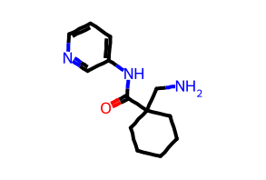 NCC1(C(=O)Nc2cccnc2)CCCCC1